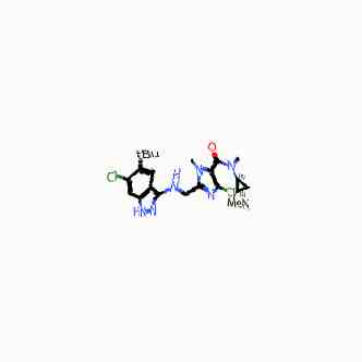 CN[C@H]1C[C@@H]1N(C)C(=O)c1c(Cl)nc(CNc2n[nH]c3cc(Cl)c(C(C)(C)C)cc23)n1C